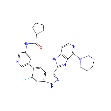 O=C(Nc1cncc(-c2cc3c(-c4nc5c(N6CCCCC6)nccc5[nH]4)n[nH]c3cc2F)c1)C1CCCC1